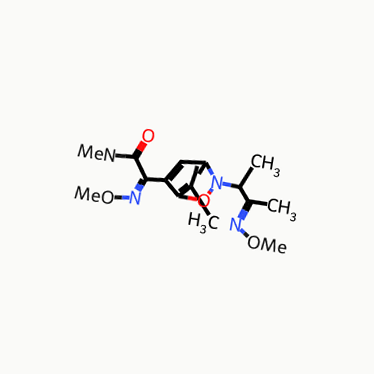 CNC(=O)C(=NOC)c1cc2cc(C)c1ON2C(C)C(C)=NOC